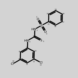 O=S(=O)(NC(=S)Nc1cc(Cl)cc(Cl)c1)c1ccccc1